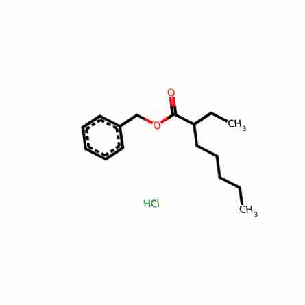 CCCCCC(CC)C(=O)OCc1ccccc1.Cl